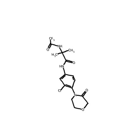 CC(C)(NC(=O)C(F)(F)F)C(=O)Nc1ccc(N2CCOCC2=O)c(Cl)c1